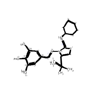 CC(C)(C)c1cs/c(=N\C2CCCCC2)n1/N=C/c1cc(O)c(O)c(O)c1